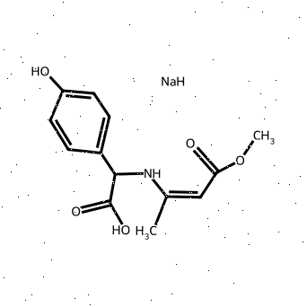 COC(=O)/C=C(/C)NC(C(=O)O)c1ccc(O)cc1.[NaH]